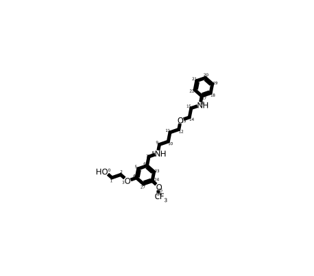 OCCOc1cc(CNCCCCOCCNc2ccccc2)cc(OC(F)(F)F)c1